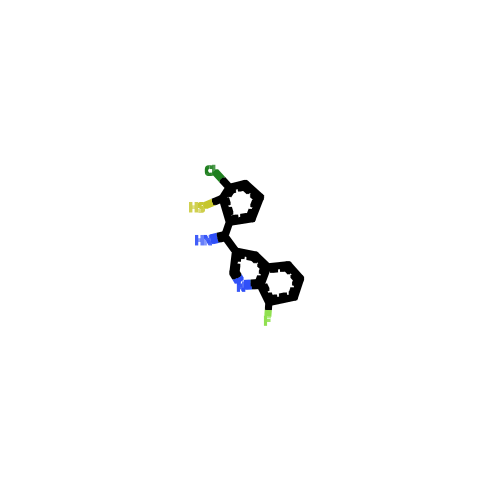 N=C(c1cnc2c(F)cccc2c1)c1cccc(Cl)c1S